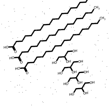 CCCCCCCCCCCCCCCCCC(=O)O.CCCCCCCCCCCCCCCCCC(=O)O.CCCCCCCCCCCCCCCCCC(=O)O.OCC(O)CO.OCC(O)CO.OCC(O)CO.OCC(O)CO